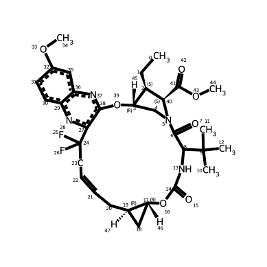 CC[C@@H]1[C@@H]2CN(C(=O)C(C(C)(C)C)NC(=O)O[C@@H]3C[C@H]3CC=CCC(F)(F)c3nc4ccc(OC)cc4nc3O2)[C@@H]1C(=O)OC